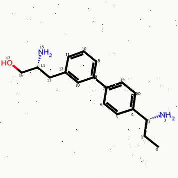 CC[C@@H](N)c1ccc(-c2cccc(C[C@@H](N)CO)c2)cc1